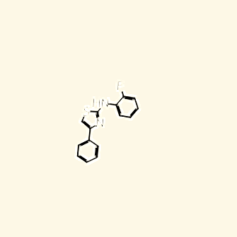 Fc1ccccc1Nc1nc(-c2ccccc2)cs1